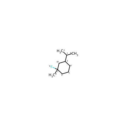 CC(C)C1CCCC(C)(F)C1